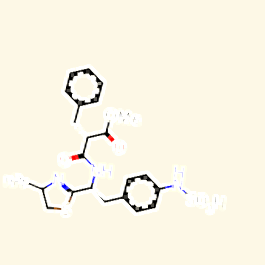 CCCC1CSC([C@H](Cc2ccc(NS(=O)(=O)O)cc2)NC(=O)[C@H](Cc2ccccc2)C(=O)OC)=N1